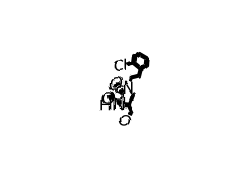 O=CC1CN(CCc2ccccc2Cl)S(=O)(=O)N1